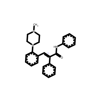 CN1CCN(c2ccccc2/C=C(/C(=O)Nc2ccccc2)c2ccccc2)CC1